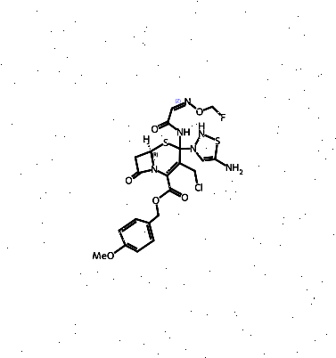 COc1ccc(COC(=O)C2=C(CCl)C(NC(=O)/C=N\OCF)(N3C=C(N)SN3)S[C@@H]3CC(=O)N23)cc1